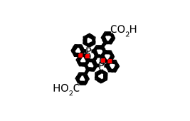 O=C(O)c1ccc(-c2cc(P(=O)(c3ccccc3)c3ccccc3)c(-c3c(P(=O)(c4ccccc4)c4ccccc4)cc(-c4ccc(C(=O)O)cc4)c4ccccc34)c3ccccc23)cc1